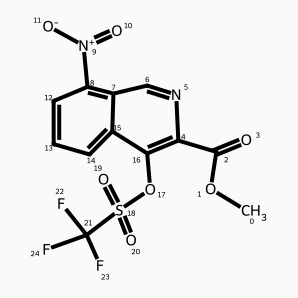 COC(=O)c1ncc2c([N+](=O)[O-])cccc2c1OS(=O)(=O)C(F)(F)F